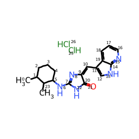 CC1CCCC(NC2=NC(=Cc3c[nH]c4ncccc34)C(=O)N2)C1C.Cl.Cl